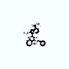 Cc1cc2c(C(N)=O)cccn2c1C1NC2=C(NC=CC=C2)C(NCc2ccccc2)N1